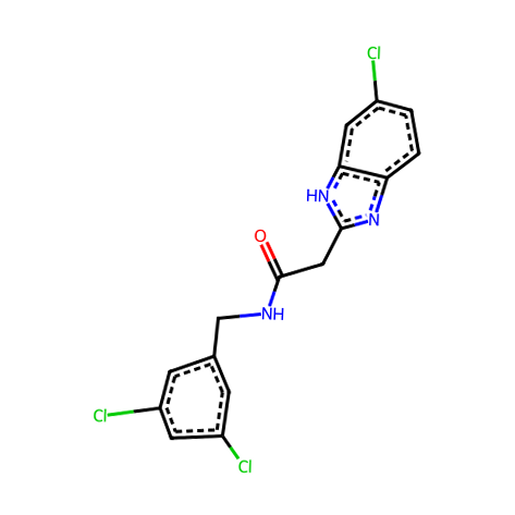 O=C(Cc1nc2ccc(Cl)cc2[nH]1)NCc1cc(Cl)cc(Cl)c1